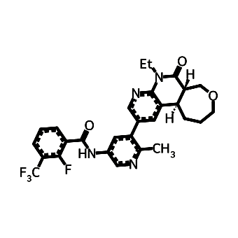 CCN1C(=O)[C@@H]2COCCC[C@H]2c2cc(-c3cc(NC(=O)c4cccc(C(F)(F)F)c4F)cnc3C)cnc21